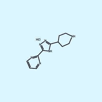 Cl.c1cnc(-c2nnc(C3CCNCC3)[nH]2)nc1